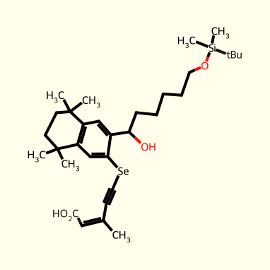 CC(C#C[Se]c1cc2c(cc1C(O)CCCCCO[Si](C)(C)C(C)(C)C)C(C)(C)CCC2(C)C)=CC(=O)O